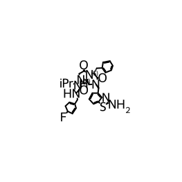 CC(C)N(C(=O)NCC1=CCC(F)C=C1)N1CC(=O)N2[C@@H](Cc3ccccc3)C(=O)N(Cc3cccc4sc(N)nc34)C[C@@H]21